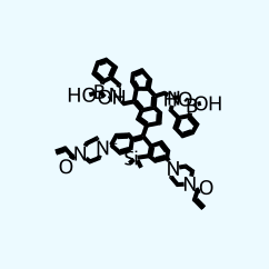 C=CC(=O)N1CCN(c2ccc3c(c2)[Si](C)(C)C2=CC(=[N+]4CCN(C(=O)C=C)CC4)C=CC2=C3c2ccc3c(CN(C)Cc4ccccc4B(O)O)c4ccccc4c(CN(C)Cc4ccccc4B(O)O)c3c2)CC1